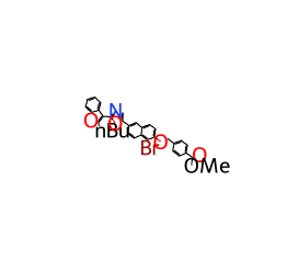 CCCCc1oc2ccccc2c1-c1ncc(-c2ccc3c(Br)c(OCc4ccc(C(=O)OC)cc4)ccc3c2)o1